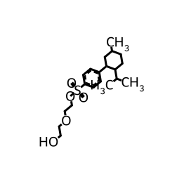 CC1CCC(C(C)C)C(c2ccc(S(=O)(=O)OCCOCCO)cc2)C1